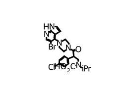 CC(C)N(CC(C(=O)N1CCN(c2c(Br)cnc3[nH]ccc23)CC1)c1ccc(Cl)cc1)C(=O)O